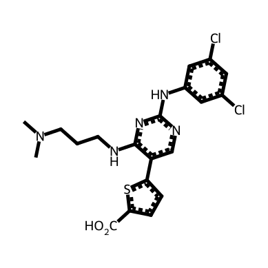 CN(C)CCCNc1nc(Nc2cc(Cl)cc(Cl)c2)ncc1-c1ccc(C(=O)O)s1